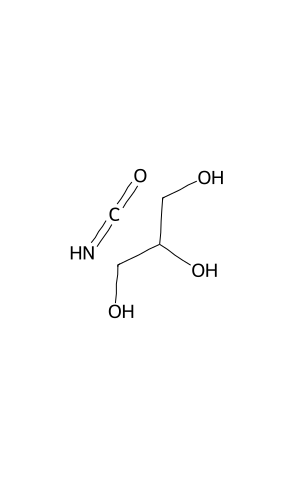 N=C=O.OCC(O)CO